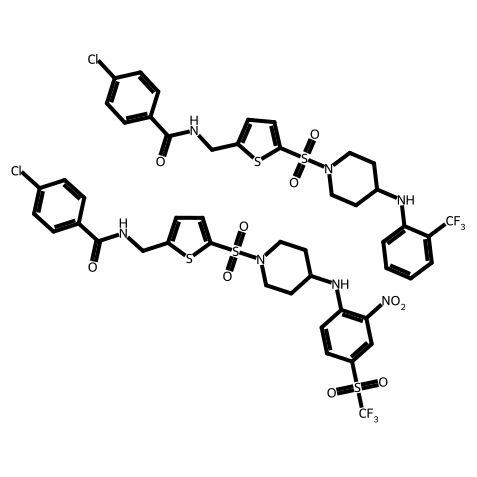 O=C(NCc1ccc(S(=O)(=O)N2CCC(Nc3ccc(S(=O)(=O)C(F)(F)F)cc3[N+](=O)[O-])CC2)s1)c1ccc(Cl)cc1.O=C(NCc1ccc(S(=O)(=O)N2CCC(Nc3ccccc3C(F)(F)F)CC2)s1)c1ccc(Cl)cc1